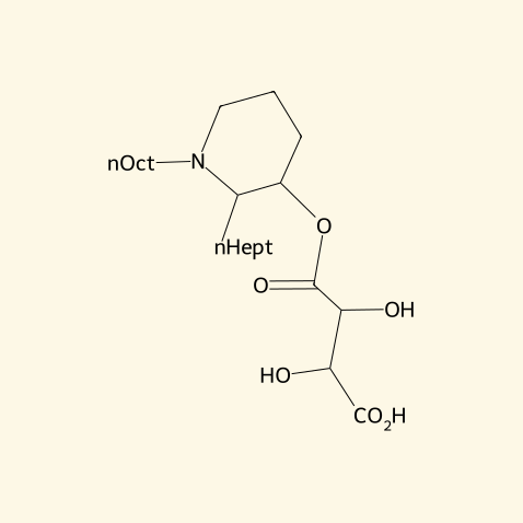 CCCCCCCCN1CCCC(OC(=O)C(O)C(O)C(=O)O)C1CCCCCCC